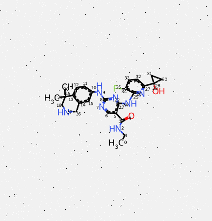 CCNC(=O)c1cnc(Nc2ccc3c(c2)CNCC3(C)C)nc1Nc1nc(C2(O)CC2)ccc1F